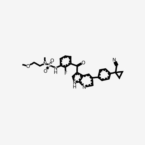 COCCN(C)S(=O)(=O)Nc1cccc(C(=O)c2c[nH]c3ncc(-c4ccc(C5(C#N)CC5)cc4)cc23)c1F